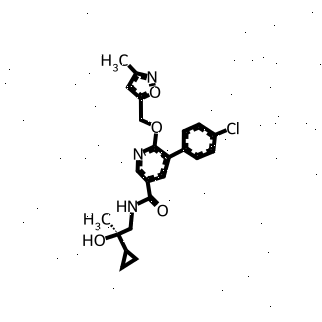 Cc1cc(COc2ncc(C(=O)NC[C@](C)(O)C3CC3)cc2-c2ccc(Cl)cc2)on1